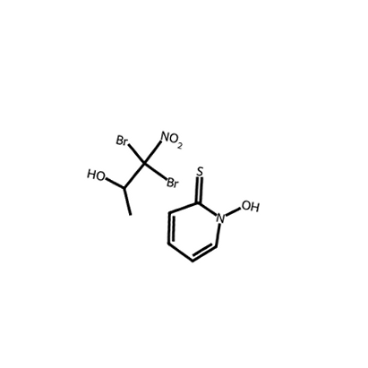 CC(O)C(Br)(Br)[N+](=O)[O-].On1ccccc1=S